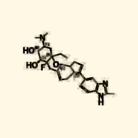 Cc1nc2cc(C3=CCC4[C@]3(C)CC=C3CC5(F)[C@@H](O)[C@H](O)[C@@H](N(C)C)C[C@]56CC[C@@]34O6)ccc2[nH]1